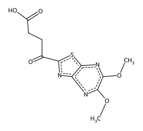 COc1nc2nc(C(=O)CCC(=O)O)sc2nc1OC